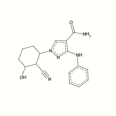 N#CC1C(O)CCCC1n1cc(C(N)=O)c(Nc2ccccc2)n1